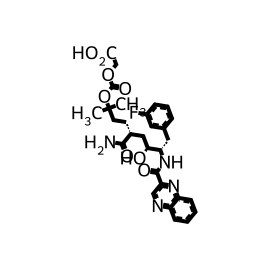 CC(C)(CC[C@H](C[C@H](O)[C@H](Cc1cccc(F)c1)NC(=O)c1cnc2ccccc2n1)C(N)=O)OC(=O)OCC(=O)O